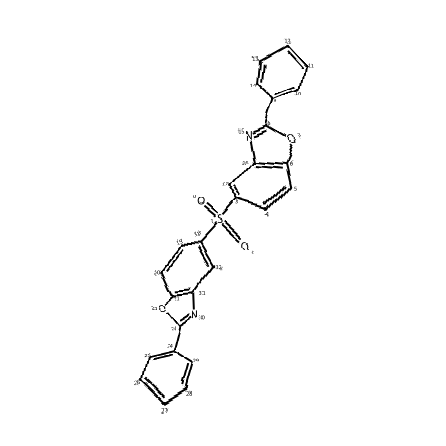 O=S(=O)(c1ccc2oc(-c3ccccc3)nc2c1)c1ccc2oc(-c3ccccc3)nc2c1